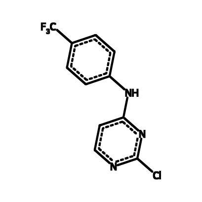 FC(F)(F)c1ccc(Nc2ccnc(Cl)n2)cc1